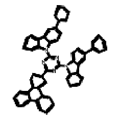 c1ccc(-c2ccc3c(c2)c2ccccc2n3-c2nc(-c3ccc4c5ccccc5c5ccccc5c4c3)nc(-n3c4ccccc4c4cc(-c5ccccc5)ccc43)n2)cc1